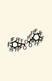 O=C(OC(=O)C(F)(F)C1(F)C(F)(F)C(F)(F)C(F)(F)C(F)(F)C1(F)F)C(F)(F)C1(F)C(F)(F)C(F)(F)C(F)(F)C(F)(F)C1(F)F